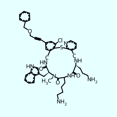 CN1C(=O)C(CCCCN)NC(=O)[C@H](CCCN)NCc2cccnc2Sc2c(Cl)cc(C#CCOCc3ccccc3)cc2CNC(=O)[C@@H]1Cc1c[nH]c2ccccc12